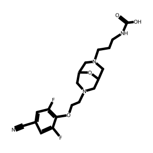 N#Cc1cc(F)c(OCCN2CC3CN(CCCNC(=O)O)CC(C2)O3)c(F)c1